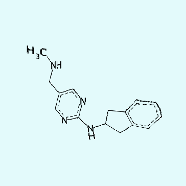 CNCc1cnc(NC2Cc3ccccc3C2)nc1